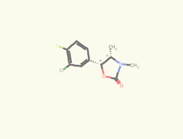 C[C@H]1[C@@H](c2ccc(F)c(Cl)c2)OC(=O)N1C